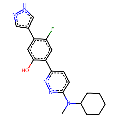 CN(c1ccc(-c2cc(F)c(-c3cn[nH]c3)cc2O)nn1)C1CCCCC1